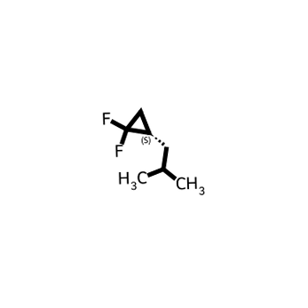 CC(C)C[C@H]1CC1(F)F